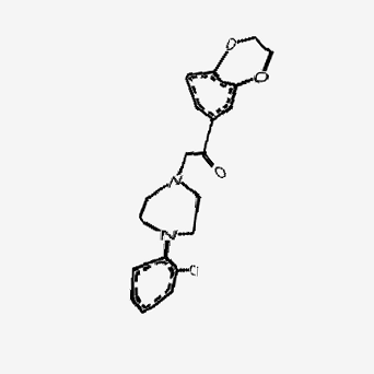 O=C(CN1CCN(c2ccccc2Cl)CC1)c1ccc2c(c1)OCCO2